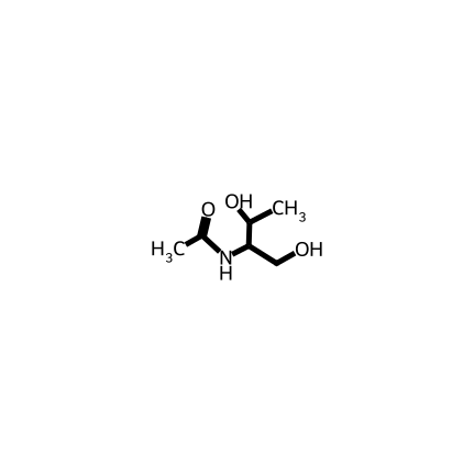 CC(=O)NC(CO)C(C)O